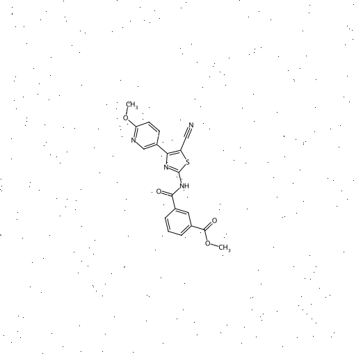 COC(=O)c1cccc(C(=O)Nc2nc(-c3ccc(OC)nc3)c(C#N)s2)c1